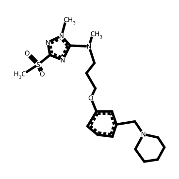 CN(CCCOc1cccc(CN2CCCCC2)c1)c1nc(S(C)(=O)=O)nn1C